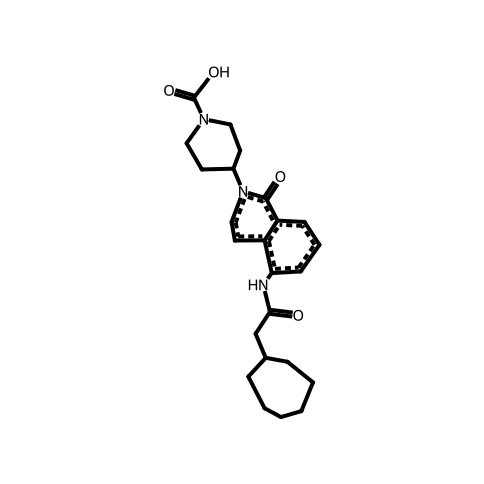 O=C(CC1CCCCCC1)Nc1cccc2c(=O)n(C3CCN(C(=O)O)CC3)ccc12